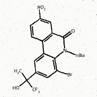 CCCCn1c(=O)c2cc([N+](=O)[O-])ccc2c2cc(C(C)(O)C(F)(F)F)cc(Br)c21